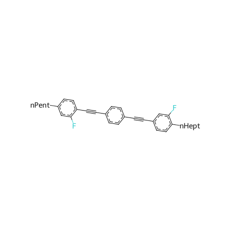 CCCCCCCc1ccc(C#Cc2ccc(C#Cc3ccc(CCCCC)cc3F)cc2)cc1F